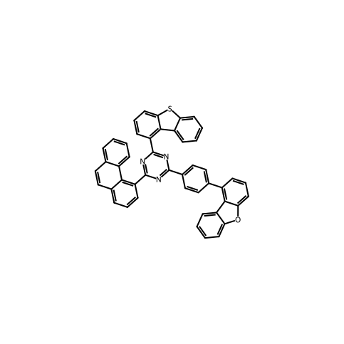 c1ccc2c(c1)ccc1cccc(-c3nc(-c4ccc(-c5cccc6oc7ccccc7c56)cc4)nc(-c4cccc5sc6ccccc6c45)n3)c12